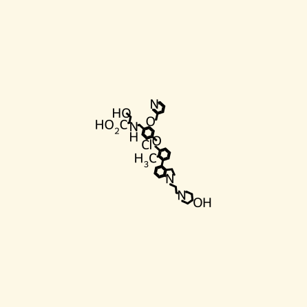 Cc1c(COc2cc(OCc3cccnc3)c(CNC(CO)C(=O)O)cc2Cl)cccc1-c1cccc2c1CCN2CCCN1CCC(O)CC1